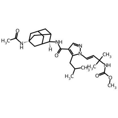 COC(=O)NC(C)(C)/C=C/n1ncc(C(=O)N[C@H]2C3CC4CC2C[C@](NC(C)=O)(C4)C3)c1CC(C)C